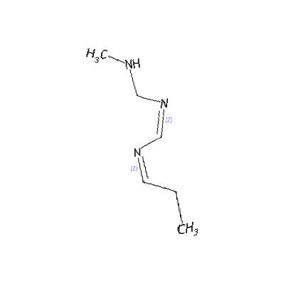 CC/C=N\C=N/CNC